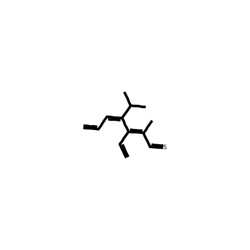 C=C/C=C(\C(C=C)=C(/C)C=S)C(C)C